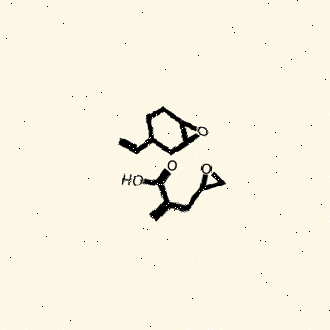 C=C(CC1CO1)C(=O)O.C=CC1CCC2OC2C1